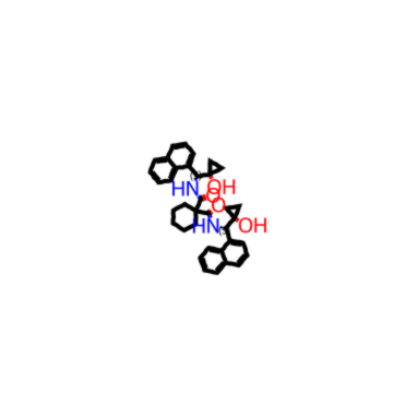 O=C(N[C@@H](c1cccc2ccccc12)C1(O)CC1)C1(C(=O)N[C@@H](c2cccc3ccccc23)C2(O)CC2)CCCCC1